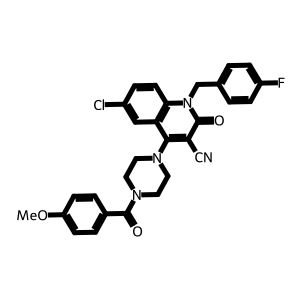 COc1ccc(C(=O)N2CCN(c3c(C#N)c(=O)n(Cc4ccc(F)cc4)c4ccc(Cl)cc34)CC2)cc1